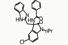 CCCN1C(=O)C(Cc2nc3ccccc3[nH]2)(NC(=O)c2ccccc2)c2cc(Cl)ccc21